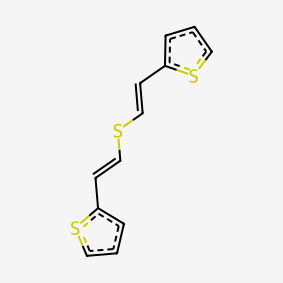 C(=Cc1cccs1)SC=Cc1cccs1